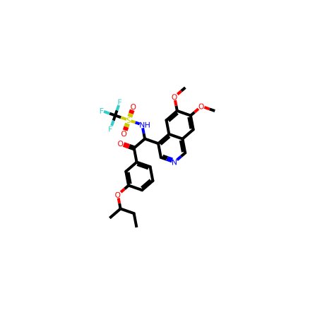 CCC(C)Oc1cccc(C(=O)C(NS(=O)(=O)C(F)(F)F)c2cncc3cc(OC)c(OC)cc23)c1